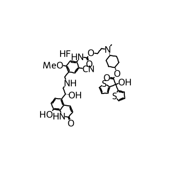 COc1cc(NC(=O)OCCN(C)[C@H]2CC[C@H](OC(=O)C(O)(c3cccs3)c3cccs3)CC2)c(C#N)cc1CNC[C@H](O)c1ccc(O)c2[nH]c(=O)ccc12.F